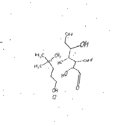 C[N+](C)(C)CCCO.O=CC(O)C(O)C(O)C(O)CO.[Cl-]